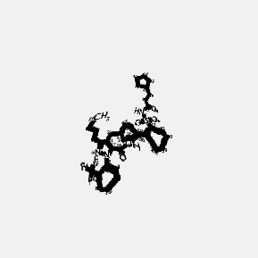 CCCCc1nn(-c2ccccc2C(F)(F)F)c(C(=O)O)c1Cc1ccc(-c2ccccc2S(=O)(=O)NC(=O)CCC2CCCC2)cc1